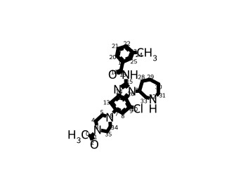 CC(=O)N1CCN(c2cc(Cl)c3c(c2)nc(NC(=O)c2cccc(C)c2)n3C2CCCCNC2)CC1